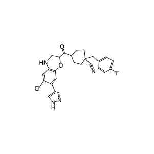 N#CC1(Cc2ccc(F)cc2)CCC(C(=O)C2CNc3cc(Cl)c(-c4cn[nH]c4)cc3O2)CC1